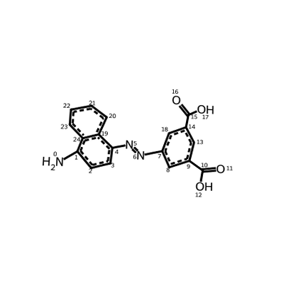 Nc1ccc(N=Nc2cc(C(=O)O)cc(C(=O)O)c2)c2ccccc12